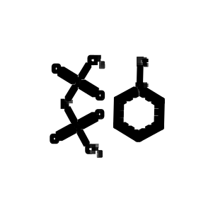 CC[n+]1ccccc1.O=S(=O)([N-]S(=O)(=O)C(F)(F)F)C(F)(F)F